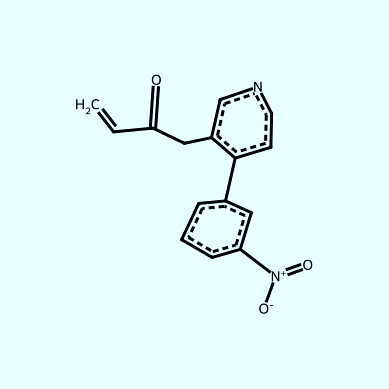 C=CC(=O)Cc1cnccc1-c1cccc([N+](=O)[O-])c1